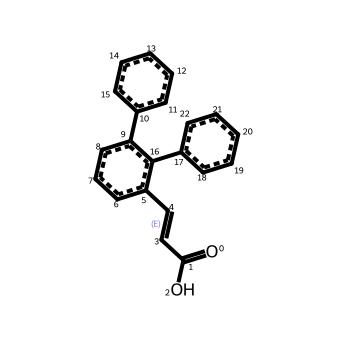 O=C(O)/C=C/c1cccc(-c2ccccc2)c1-c1ccccc1